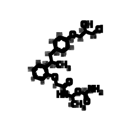 CC(NC(=O)COc1ccccc1C(C)Cc1ccc(OCC(O)CCl)cc1)OC(N)=O